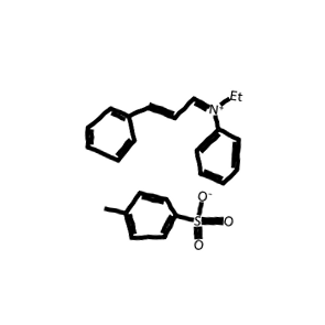 CC[N+](=CC=Cc1ccccc1)c1ccccc1.Cc1ccc(S(=O)(=O)[O-])cc1